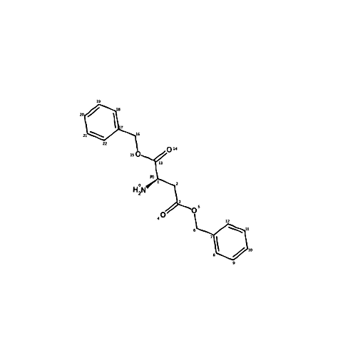 N[C@H](CC(=O)OCc1ccccc1)C(=O)OCc1ccccc1